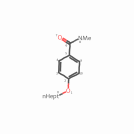 CCCCCCCOc1ccc(C(=O)NC)cc1